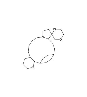 C1CCN2CCC3(COCCN3)C2CCC2CCC(CC2)C2OCCCC2C1